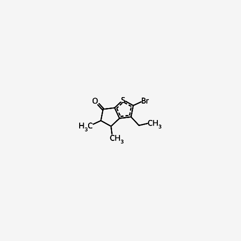 CCc1c(Br)sc2c1C(C)C(C)C2=O